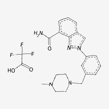 CN1CCN(Cc2cccc(-n3cc4cccc(C(N)=O)c4n3)c2)CC1.O=C(O)C(F)(F)F